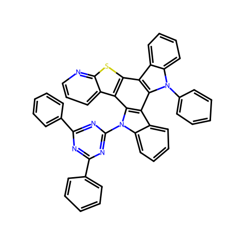 c1ccc(-c2nc(-c3ccccc3)nc(-n3c4ccccc4c4c5c(c6ccccc6n5-c5ccccc5)c5sc6ncccc6c5c43)n2)cc1